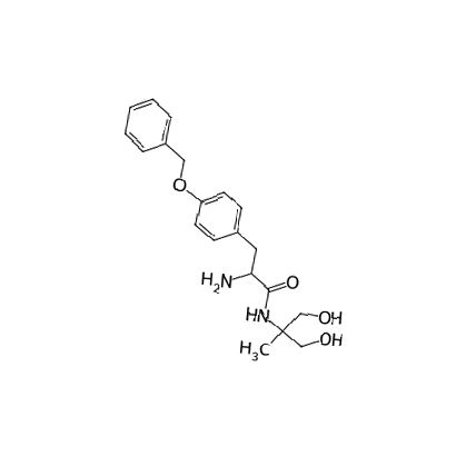 CC(CO)(CO)NC(=O)C(N)Cc1ccc(OCc2ccccc2)cc1